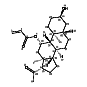 C=CC(=O)O[C@H]1C[C@]2(C)[C@@H](C(C)=O)CC[C@H]2[C@@H]2CC[C@H]3C[C@H](O)CC[C@]3(C)[C@H]21